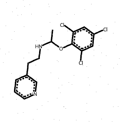 CC(NCCc1cccnc1)Oc1c(Cl)cc(Cl)cc1Cl